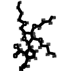 CCCCOCC1OC(n2ccc(C#N)c2C(=O)Cl)C(OCCCC)C1OCCCC